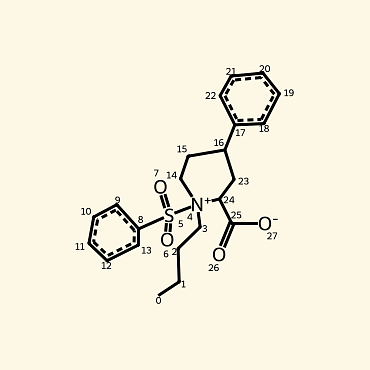 CCCC[N+]1(S(=O)(=O)c2ccccc2)CCC(c2ccccc2)CC1C(=O)[O-]